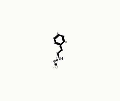 O=PNCCc1ccccc1